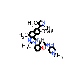 COc1cc2c(cc1C1=C(C)CN=C1C)CC(C)c1nc(C)nc(N[C@H](CC(=O)NC3CCN(C)CC3)c3ccccc3)c1-2